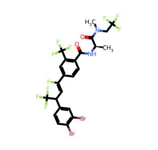 C[C@@H](NC(=O)c1ccc(/C(F)=C/C(c2ccc(Br)c(Br)c2)C(F)(F)F)cc1C(F)(F)F)C(=O)N(C)CC(F)(F)F